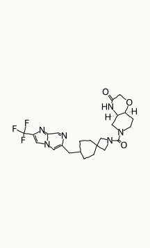 O=C1CO[C@H]2CCN(C(=O)N3CC4(CCC(Cc5cn6cc(C(F)(F)F)nc6cn5)CC4)C3)C[C@H]2N1